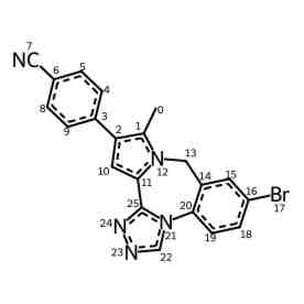 Cc1c(-c2ccc(C#N)cc2)cc2n1Cc1cc(Br)ccc1-n1cnnc1-2